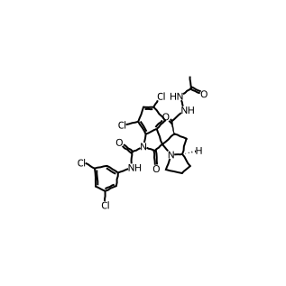 CC(=O)NNC(=O)[C@H]1C[C@H]2CCCN2C12C(=O)N(C(=O)Nc1cc(Cl)cc(Cl)c1)c1c(Cl)cc(Cl)cc12